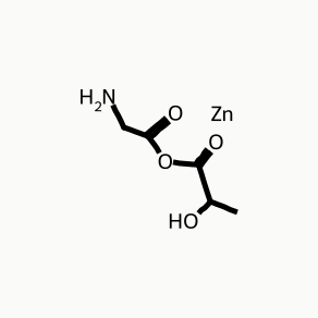 CC(O)C(=O)OC(=O)CN.[Zn]